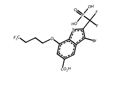 O=C(O)c1cc(OCCCC(F)(F)F)c2sc(C(F)(F)P(=O)(O)O)c(Br)c2c1